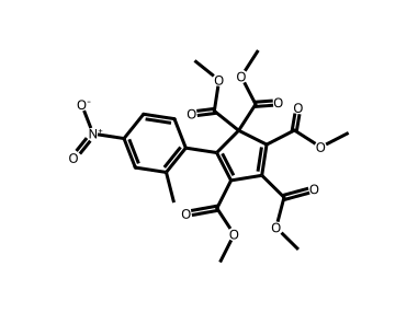 COC(=O)C1=C(C(=O)OC)C(C(=O)OC)(C(=O)OC)C(c2ccc([N+](=O)[O-])cc2C)=C1C(=O)OC